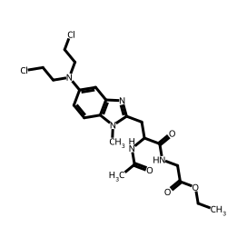 CCOC(=O)CNC(=O)C(Cc1nc2cc(N(CCCl)CCCl)ccc2n1C)NC(C)=O